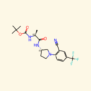 C[C@H](NC(=O)OC(C)(C)C)C(=O)N[C@H]1CCN(c2ccc(C(F)(F)F)cc2C#N)C1